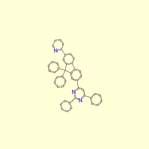 c1ccc(-c2cc(-c3ccc4c(c3)C(c3ccccc3)(c3ccccc3)c3cc(-c5ccccn5)ccc3-4)nc(-c3ccccc3)n2)cc1